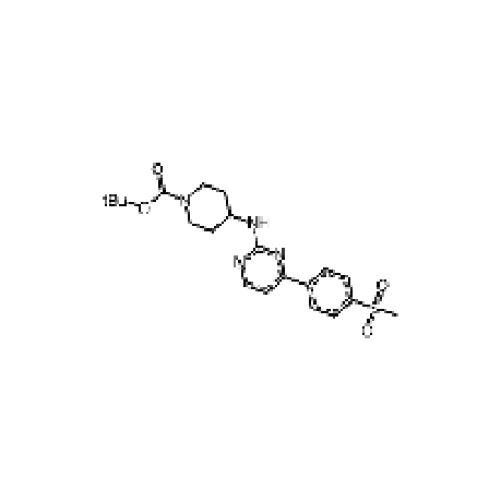 CC(C)(C)OC(=O)N1CCC(Nc2nccc(-c3ccc(S(C)(=O)=O)cc3)n2)CC1